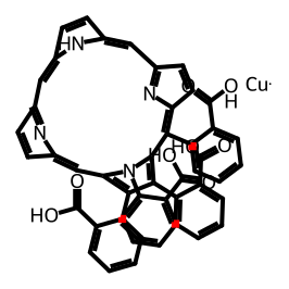 O=C(O)c1ccccc1-c1c(-c2ccccc2C(=O)O)c2c(-c3ccccc3C(=O)O)c3nc(cc4ccc(cc5nc(cc1n2-c1ccccc1C(=O)O)C=C5)[nH]4)C=C3.[Cu]